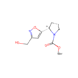 CC(C)(C)OC(=O)N1CCC[C@H]1c1cc(CO)no1